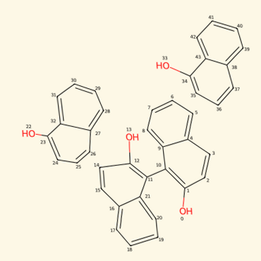 Oc1ccc2ccccc2c1-c1c(O)ccc2ccccc12.Oc1cccc2ccccc12.Oc1cccc2ccccc12